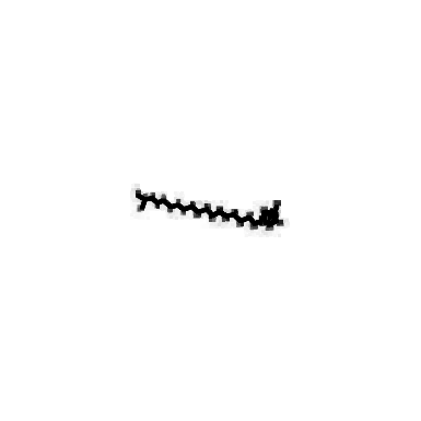 CC(C)CCCCCCCCCCCCCCCC[n+]1ccn(C)c1